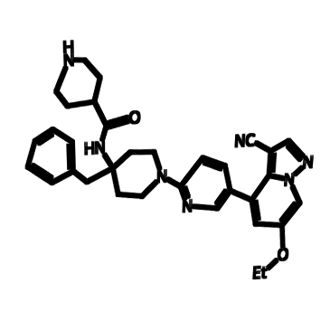 CCOc1cc(-c2ccc(N3CCC(Cc4ccccc4)(NC(=O)C4CCNCC4)CC3)nc2)c2c(C#N)cnn2c1